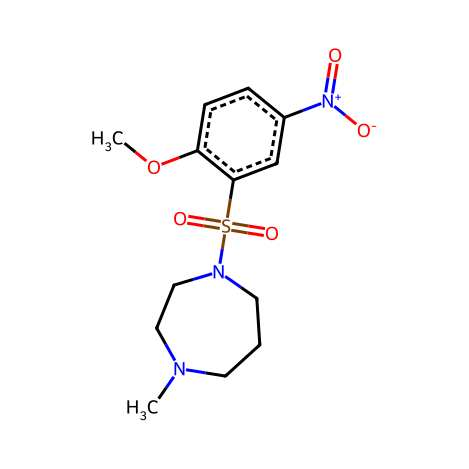 COc1ccc([N+](=O)[O-])cc1S(=O)(=O)N1CCCN(C)CC1